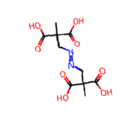 CC(C/N=N/CC(C)(C(=O)O)C(=O)O)(C(=O)O)C(=O)O